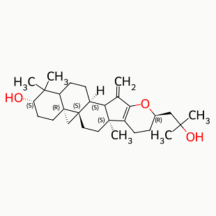 C=C1C2=C(CC[C@H](CC(C)(C)O)O2)[C@@]2(C)CC[C@@]34C[C@@]35CC[C@H](O)C(C)(C)C5CC[C@H]4C12